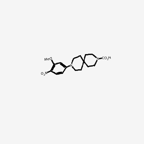 COc1cc(N2CCC3(CCN(C(=O)O)CC3)CC2)ccc1[N+](=O)[O-]